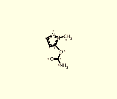 Cn1nccc1OC(N)=O